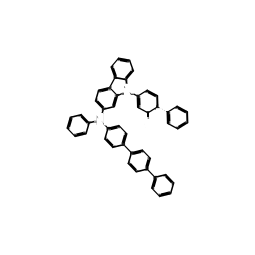 CC1C=C(n2c3ccccc3c3ccc(N(c4ccccc4)c4ccc(-c5ccc(-c6ccccc6)cc5)cc4)cc32)C=C[C@H]1c1ccccc1